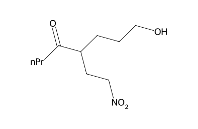 CCCC(=O)C(CCCO)CC[N+](=O)[O-]